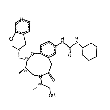 C[C@@H]1CN([C@@H](C)CO)C(=O)Cc2cc(NC(=O)NC3CCCCC3)ccc2O[C@H]1CN(C)Cc1ccncc1Cl